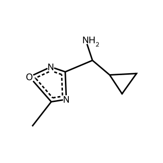 Cc1nc(C(N)C2CC2)no1